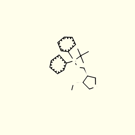 CO[C@H]1COC[C@@H]1CO[Si](c1ccccc1)(c1ccccc1)C(C)(C)C